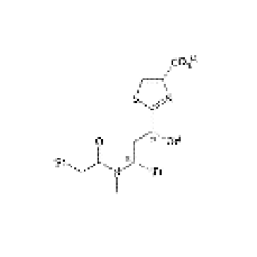 CC(C)CC(=O)N(C)[C@H](C[C@@H](O)c1nc(C(=O)O)cs1)C(C)C